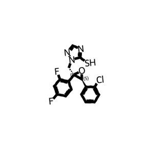 Fc1ccc([C@@]2(Cn3ncnc3S)O[C@H]2c2ccccc2Cl)c(F)c1